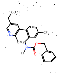 CCN(Cc1cc(C(F)(F)F)ccc1-c1cc(CC(=O)O)cnc1OC)C(=O)OCc1ccccc1